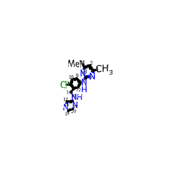 CNc1cc(C)nc(Nc2ccc(Cl)c(CNc3cnccn3)c2)n1